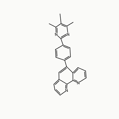 Cc1nc(-c2ccc(-c3cc4cccnc4c4ncccc34)cc2)nc(C)c1C